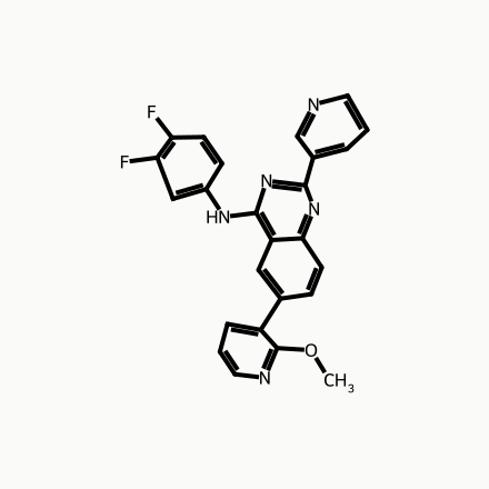 COc1ncccc1-c1ccc2nc(-c3cccnc3)nc(Nc3ccc(F)c(F)c3)c2c1